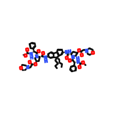 CCCCC1(CCCC)c2cc(NC(=O)[C@@H]3C[C@@H](OC(=O)CN4CCOCC4)CN3C(=O)[C@H](NC(=O)OC)c3ccccc3)ccc2-c2ccc(NC(=O)[C@@H]3C[C@@H](OC(=O)CN4CCOCC4)CN3C(=O)[C@H](NC(=O)OC)c3ccccc3)cc21